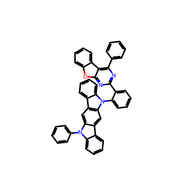 c1ccc(-c2nc(-c3ccccc3-n3c4ccccc4c4cc5c(cc43)c3ccccc3n5-c3ccccc3)nc3oc4ccccc4c23)cc1